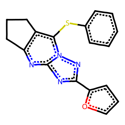 c1ccc(Sc2c3c(nc4nc(-c5ccco5)nn24)CCC3)cc1